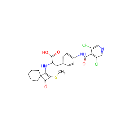 CSC1=C(NC(Cc2ccc(NC(=O)c3c(Cl)cncc3Cl)cc2)C(=O)O)C2(CCCCC2)C1=O